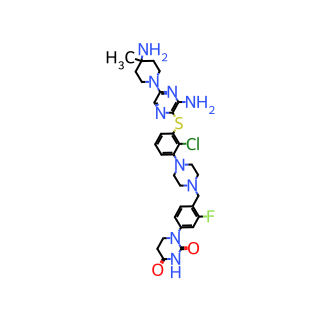 CC1(N)CCN(c2cnc(Sc3cccc(N4CCN(Cc5ccc(N6CCC(=O)NC6=O)cc5F)CC4)c3Cl)c(N)n2)CC1